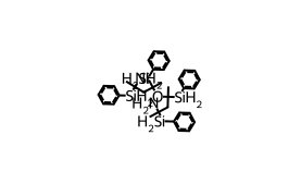 CC(N)(CC(C)(OC(C)(CC(C)(N)[SiH2]c1ccccc1)[SiH2]c1ccccc1)[SiH2]c1ccccc1)[SiH2]c1ccccc1